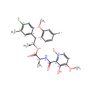 COc1cc(F)ccc1[C@@H](c1ccc(F)c(C)c1)[C@H](C)OC(=O)[C@H](C)NC(=O)c1c(O)c(OC)cc[n+]1[O-]